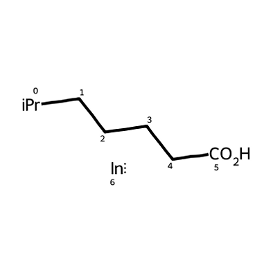 CC(C)CCCCC(=O)O.[In]